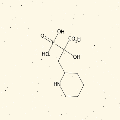 O=C(O)C(O)(CC1CCCCN1)P(=O)(O)O